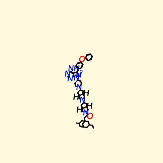 CCC1CC2CC(C)CC(CC(=O)N3C[C@H]4CC(N5C[C@H]6CC(N7CCC(n8nc(-c9ccc(Oc%10ccccc%10)cc9)c9c(N)ncnc98)CC7)C[C@H]6C5)C[C@H]4C3)(C1)C2